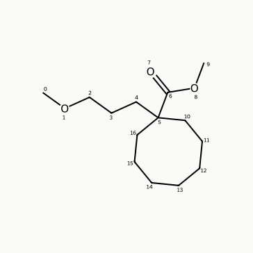 COCCCC1(C(=O)OC)CCCCCCC1